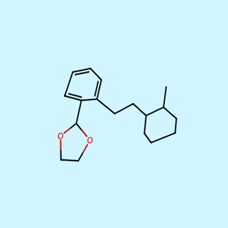 CC1CCCCC1CCc1ccccc1C1OCCO1